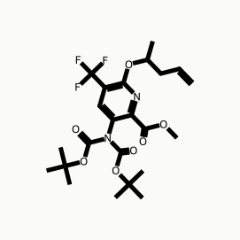 C=CCC(C)Oc1nc(C(=O)OC)c(N(C(=O)OC(C)(C)C)C(=O)OC(C)(C)C)cc1C(F)(F)F